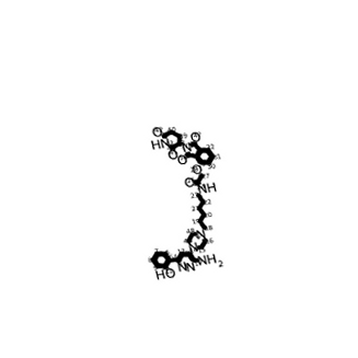 Nc1nnc(-c2ccccc2O)cc1N1CCN(CCCCCCNC(=O)COc2cccc3c2C(=O)N(C2CCC(=O)NC2=O)C3=O)CC1